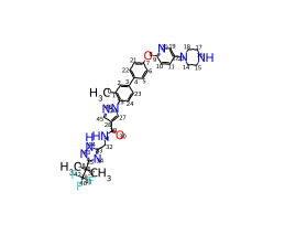 Cc1cc(-c2ccc(Oc3ccc(N4CCNCC4)cn3)cc2)ccc1-n1cc(C(=O)NCc2nc(C(C)(C)C(F)(F)F)n[nH]2)cn1